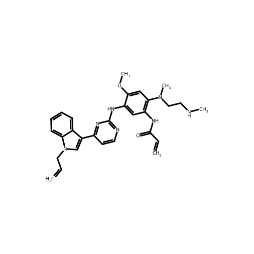 C=CCn1cc(-c2ccnc(Nc3cc(NC(=O)C=C)c(N(C)CCNC)cc3OC)n2)c2ccccc21